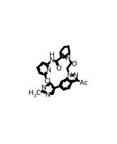 CC(=O)c1nn(CC(=O)N2C3CCC(C3)C2C(=O)Nc2cccc(Cl)n2)c2cc(-c3cnc(C)nc3)ccc12